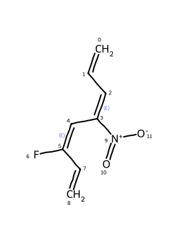 C=C/C=C(\C=C(\F)C=C)[N+](=O)[O-]